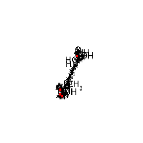 Cc1ccc(C(c2ccccc2)N(C(=O)O)[C@H]2CN3CCC2CC3)cc1OCCCCCCCCCNC[C@@H](O)c1ccc(O)c2[nH]c(=O)ccc12